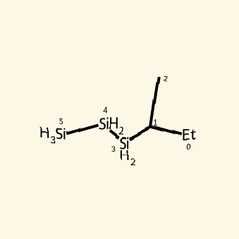 CCC(C)[SiH2][SiH2][SiH3]